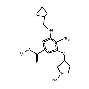 COC(=O)c1cc(NCC2CCO2)c(N)c(OC2CCN(C)C2)c1